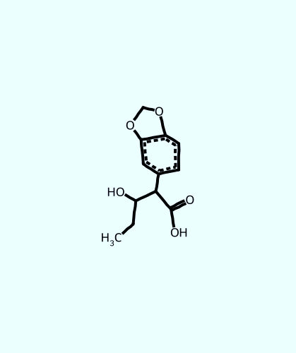 CCC(O)C(C(=O)O)c1ccc2c(c1)OCO2